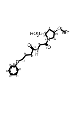 CC(C)O[C@@H]1C[C@@H](C(=O)O)N(C(=O)CNC(=O)CCCOc2ccccc2)C1